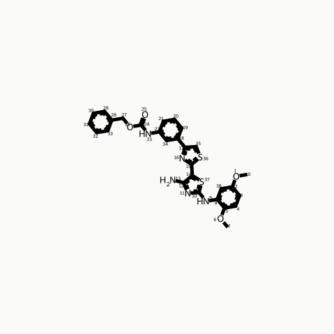 COc1ccc(OC)c(Nc2nc(N)c(-c3nc(-c4cccc(NC(=O)OCc5ccccc5)c4)cs3)s2)c1